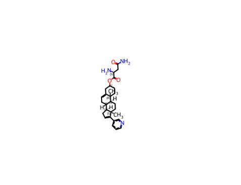 C[C@]12CC[C@H](OC(=O)[C@@H](N)CC(N)=O)CC1=CC[C@@H]1[C@@H]2CC[C@]2(C)C(c3cccnc3)=CC[C@@H]12